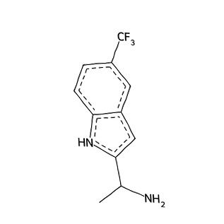 CC(N)c1cc2cc(C(F)(F)F)ccc2[nH]1